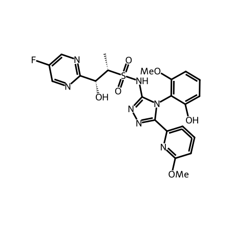 COC1=NC(c2nnc(NS(=O)(=O)[C@@H](C)[C@H](O)c3ncc(F)cn3)n2-c2c(O)cccc2OC)=C=C=C1